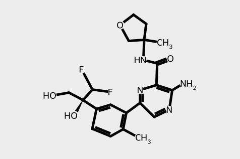 Cc1ccc([C@](O)(CO)C(F)F)cc1-c1cnc(N)c(C(=O)NC2(C)CCOC2)n1